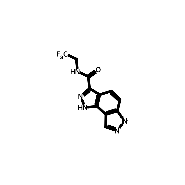 O=C(NCC(F)(F)F)c1n[nH]c2c3c(ccc12)[N]N=C3